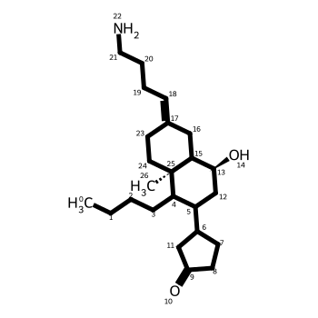 CCCCC1C(C2CCC(=O)C2)C[C@H](O)C2C/C(=C/CCCN)CC[C@]12C